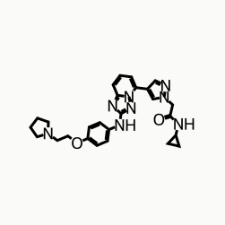 O=C(Cn1cc(-c2cccc3nc(Nc4ccc(OCCN5CCCC5)cc4)nn23)cn1)NC1CC1